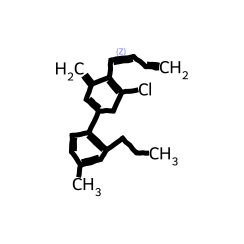 C=C/C=C\C1=C(Cl)CC(c2ccc(C)cc2CCC)=CC1=C